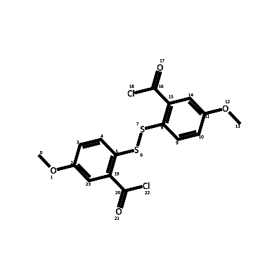 COc1ccc(SSc2ccc(OC)cc2C(=O)Cl)c(C(=O)Cl)c1